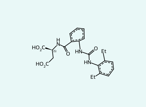 CCc1cccc(CC)c1NC(=O)Nc1ccccc1C(=O)N[C@@H](CC(=O)O)C(=O)O